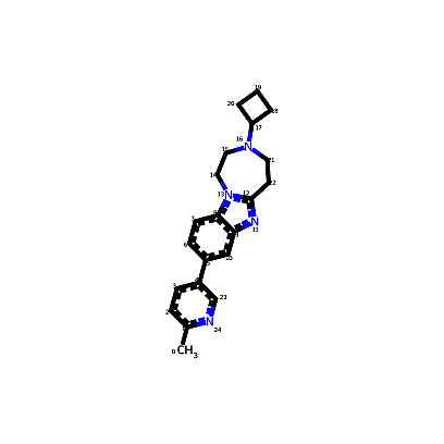 Cc1ccc(-c2ccc3c(c2)nc2n3CCN(C3CCC3)CC2)cn1